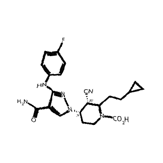 N#C[C@@H]1C(CCC2CC2)N(C(=O)O)CC[C@@H]1n1cc(C(N)=O)c(Nc2ccc(F)cc2)n1